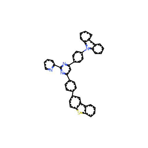 c1ccc(-c2nc(-c3ccc(-c4ccc5sc6ccccc6c5c4)cc3)cc(-c3ccc(-n4c5ccccc5c5ccccc54)cc3)n2)nc1